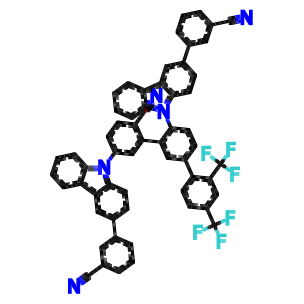 N#Cc1cccc(-c2ccc3c(c2)c2ccccc2n3-c2ccc(C#N)c(-c3cc(-c4ccc(C(F)(F)F)cc4C(F)(F)F)ccc3-n3c4ccccc4c4cc(-c5cccc(C#N)c5)ccc43)c2)c1